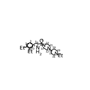 CCc1ccc(C[C@@H](N)C(=O)N2CCN(C3CCN(CC)CC3)CC2)cc1CC